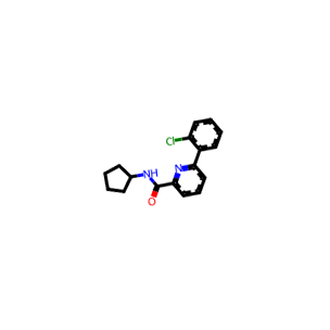 O=C(NC1CCCC1)c1cccc(-c2ccccc2Cl)n1